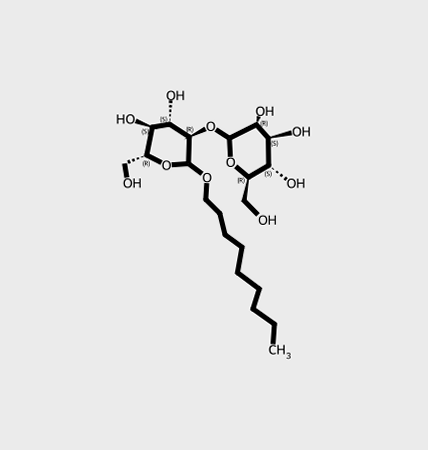 CCCCCCCCCOC1O[C@H](CO)[C@@H](O)[C@H](O)[C@H]1OC1O[C@H](CO)[C@@H](O)[C@H](O)[C@H]1O